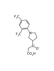 O=C(O)C[S+]([O-])C1CCN(c2ccc(C(F)(F)F)cc2C(F)(F)F)C1